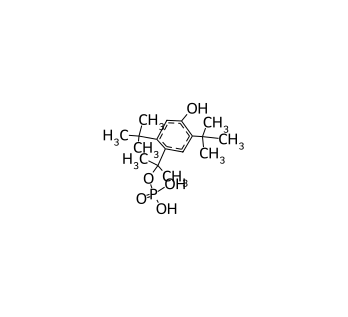 CC(C)(C)c1cc(C(C)(C)OP(=O)(O)O)c(C(C)(C)C)cc1O